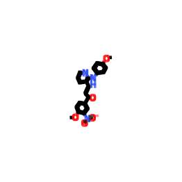 COc1ccc(Nc2ncccc2/C=C/C(=O)c2ccc(OC)c([N+](=O)[O-])c2)cc1